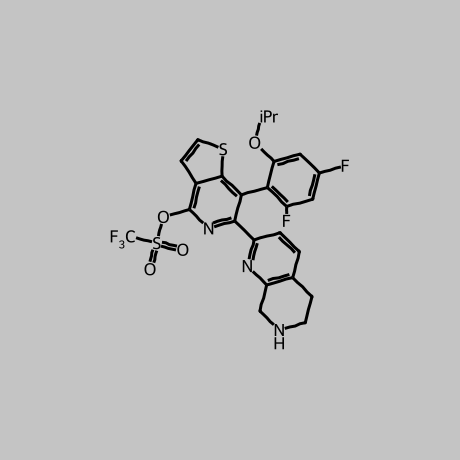 CC(C)Oc1cc(F)cc(F)c1-c1c(-c2ccc3c(n2)CNCC3)nc(OS(=O)(=O)C(F)(F)F)c2ccsc12